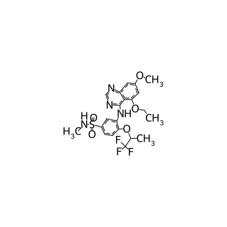 CCOc1cc(OC)cc2ncnc(Nc3cc(S(=O)(=O)NC)ccc3OC(C)C(F)(F)F)c12